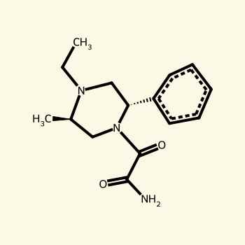 CCN1C[C@H](c2ccccc2)N(C(=O)C(N)=O)C[C@H]1C